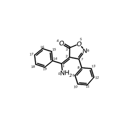 NC(=C1C(=O)ON=C1c1ccccc1)c1ccccc1